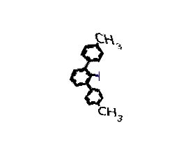 Cc1ccc(-c2cccc(-c3ccc(C)cc3)c2I)cc1